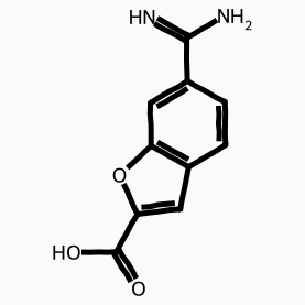 N=C(N)c1ccc2cc(C(=O)O)oc2c1